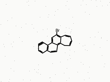 Brc1cc2c(ccc3ccc#cc32)c2c1C=CC=CC2